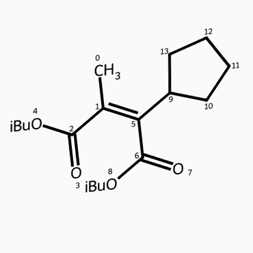 C/C(C(=O)OCC(C)C)=C(/C(=O)OCC(C)C)C1CCCC1